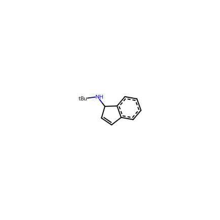 CC(C)(C)NC1C=Cc2ccccc21